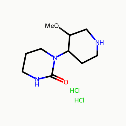 COC1CNCCC1N1CCCNC1=O.Cl.Cl